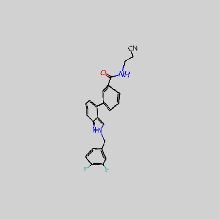 N#CCCNC(=O)c1cccc(-c2cccc3nn(Cc4ccc(F)c(F)c4)cc23)c1